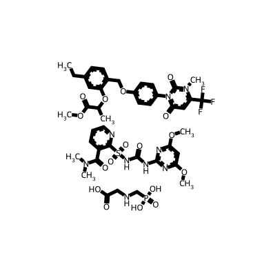 CCc1ccc(COc2ccc(-n3c(=O)cc(C(F)(F)F)n(C)c3=O)cc2)c(OC(C)C(=O)OC)c1.COc1cc(OC)nc(NC(=O)NS(=O)(=O)c2ncccc2C(=O)N(C)C)n1.O=C(O)CNCP(=O)(O)O